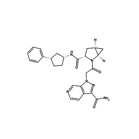 NC(=O)c1nn(CC(=O)N2[C@@H]3C[C@@H]3C[C@H]2C(=O)N[C@@H]2CC[C@H](c3ccccc3)C2)c2cnccc12